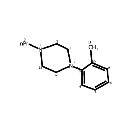 CCCN1CCN(c2ccccc2C)CC1